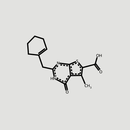 Cc1c(C(=O)O)sc2nc(CC3=CCCCC3)[nH]c(=O)c12